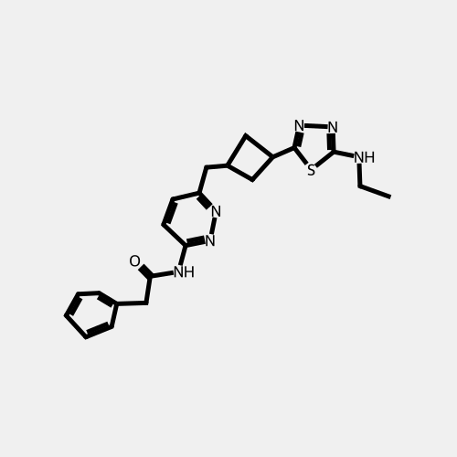 CCNc1nnc(C2CC(Cc3ccc(NC(=O)Cc4ccccc4)nn3)C2)s1